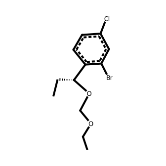 CCOCO[C@H](CC)c1ccc(Cl)cc1Br